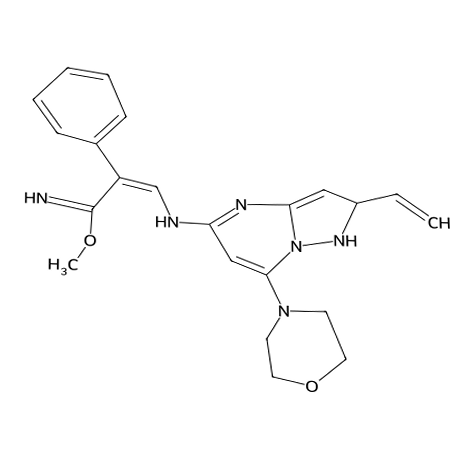 C=CC1C=C2N=C(N/C=C(\C(=N)OC)c3ccccc3)C=C(N3CCOCC3)N2N1